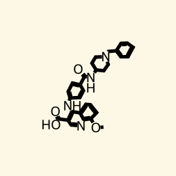 COc1cccc2c(Nc3ccc(C(=O)NC4CCN(Cc5ccccc5)CC4)cc3)c(C(=O)O)cnc12